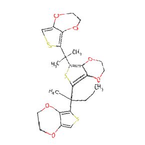 CCC(C)(c1scc2c1OCCO2)c1sc(C(C)(C)c2scc3c2OCCO3)c2c1OCCO2